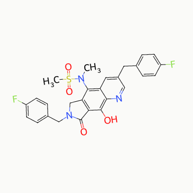 CN(c1c2c(c(O)c3ncc(Cc4ccc(F)cc4)cc13)C(=O)N(Cc1ccc(F)cc1)C2)S(C)(=O)=O